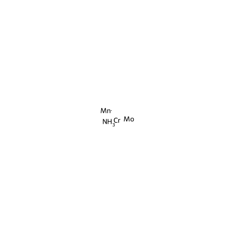 N.[Cr].[Mn].[Mo]